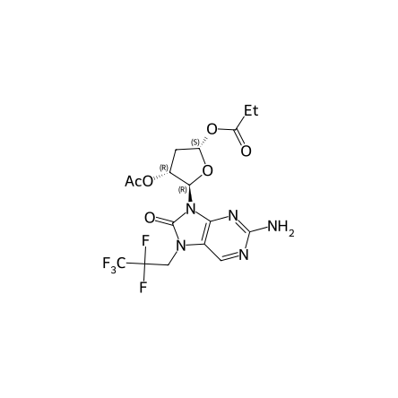 CCC(=O)O[C@H]1C[C@@H](OC(C)=O)[C@H](n2c(=O)n(CC(F)(F)C(F)(F)F)c3cnc(N)nc32)O1